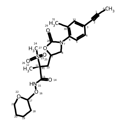 CC#Cc1ccc(N2CC(C[C@](C)(C(=O)NOC3CCCCO3)S(C)(=O)=O)OC2=O)c(C)c1